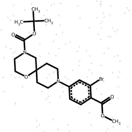 COC(=O)c1ccc(N2CCC3(CC2)CN(C(=O)OC(C)(C)C)CCO3)cc1Br